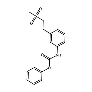 CS(=O)(=O)CCc1cccc(NC(=O)Oc2ccccc2)c1